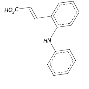 O=C(O)C=Cc1ccccc1Nc1ccccc1